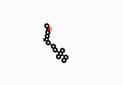 CC1(C)c2ccc(-c3ccc4cc(-c5c6ccccc6c(-c6cccc7ccccc67)c6ccccc56)ccc4c3)cc2-c2cc3cc4oc5ccccc5c4cc3cc21